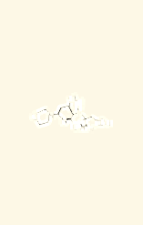 COc1nc(N2CCOCC2)cc(Cl)c1NC(=O)CC(C)(C)C